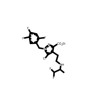 CCOC(=O)c1nn(Cc2cc(F)c(F)cc2F)c(Cl)c1CCNC(C)C(F)F